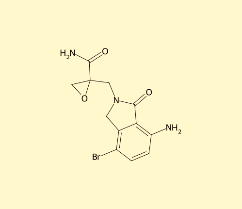 NC(=O)C1(CN2Cc3c(Br)ccc(N)c3C2=O)CO1